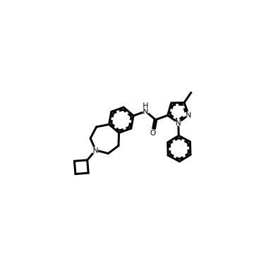 Cc1cc(C(=O)Nc2ccc3c(c2)CCN(C2CCC2)CC3)n(-c2ccccc2)n1